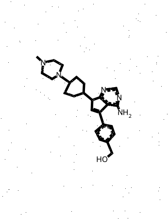 CN1CCN(C2CCC(C3C=C(c4ccc(CO)cc4)c4c(N)ncnc43)CC2)CC1